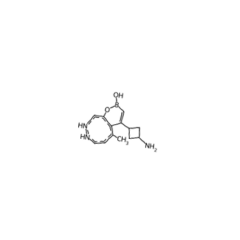 Cc1cc[nH][nH]cc2c1C(C1CC(N)C1)=CB(O)O2